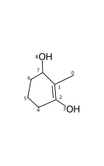 CC1=C(O)CCCC1O